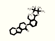 CCc1c(C2OC(C)(C)C(C)(C)O2)cccc1N1CCc2c(cc3n2CCCC3)C1=O